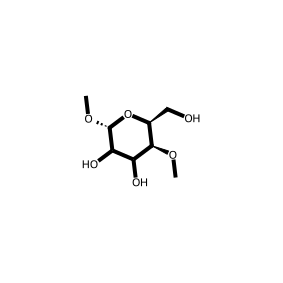 CO[C@@H]1O[C@@H](CO)[C@@H](OC)C(O)C1O